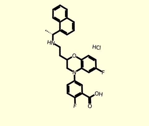 C[C@@H](NCCC1CN(c2ccc(F)c(C(=O)O)c2)c2cc(F)ccc2O1)c1cccc2ccccc12.Cl